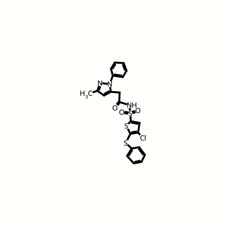 Cc1cc(CC(=O)NS(=O)(=O)c2cc(Cl)c(Sc3ccccc3)s2)n(-c2ccccc2)n1